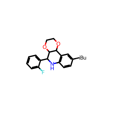 CCC(C)c1ccc2c(c1)C1OCCOC1C(c1ccccc1F)N2